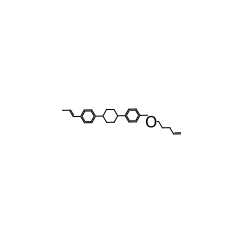 C=CCCCOCc1ccc(C2CCC(c3ccc(C=CC)cc3)CC2)cc1